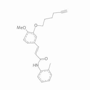 C#CCCCCOc1cc(/C=C/C(=O)Nc2ccccc2C)ccc1OC